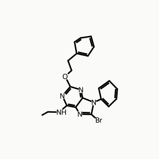 CCNc1nc(OCCc2ccccc2)nc2c1nc(Br)n2-c1ccccc1